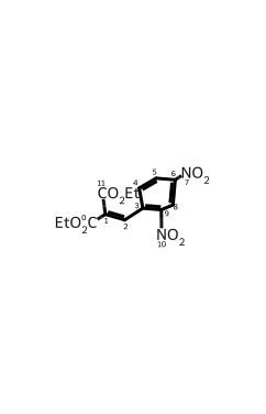 CCOC(=O)C(=Cc1ccc([N+](=O)[O-])cc1[N+](=O)[O-])C(=O)OCC